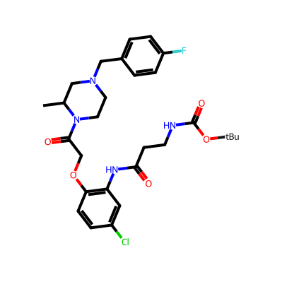 CC1CN(Cc2ccc(F)cc2)CCN1C(=O)COc1ccc(Cl)cc1NC(=O)CCNC(=O)OC(C)(C)C